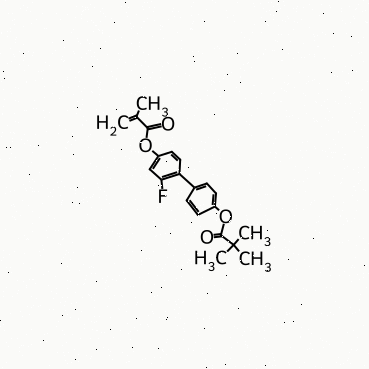 C=C(C)C(=O)Oc1ccc(-c2ccc(OC(=O)C(C)(C)C)cc2)c(F)c1